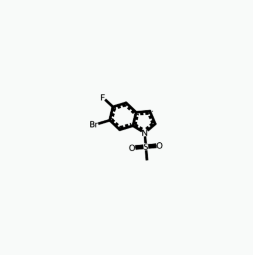 CS(=O)(=O)n1c[c]c2cc(F)c(Br)cc21